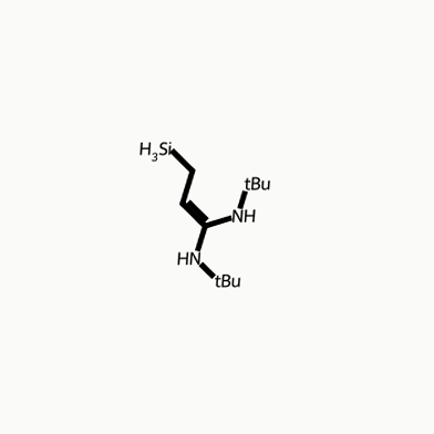 CC(C)(C)NC(=CC[SiH3])NC(C)(C)C